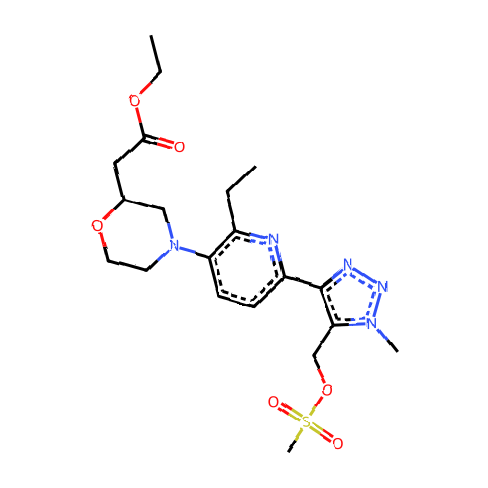 CCOC(=O)CC1CN(c2ccc(-c3nnn(C)c3COS(C)(=O)=O)nc2CC)CCO1